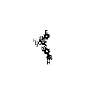 CC1(C)CC(Cn2ncc3cc(-c4cn[nH]c4)ccc32)CN1C(=O)c1cccc(F)c1